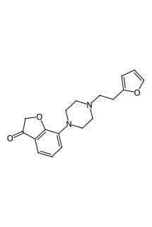 O=C1COc2c1cccc2N1CCN(CCc2ccco2)CC1